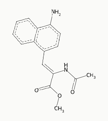 COC(=O)C(=Cc1ccc(N)c2ccccc12)NC(C)=O